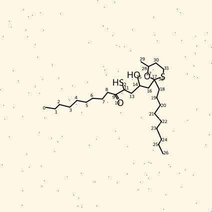 CCCCCCCCCC(=O)C(S)CC(O)CC1(CCCCCCCCC)OC(C)CCS1